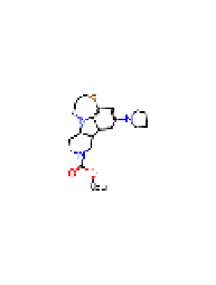 CC(C)(C)OC(=O)N1CCC2C(C1)c1cc(N3CCCC3)cc3c1N2CCCS3